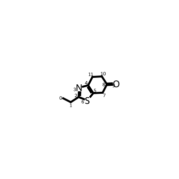 CCc1nc2c(s1)CC(=O)CC2